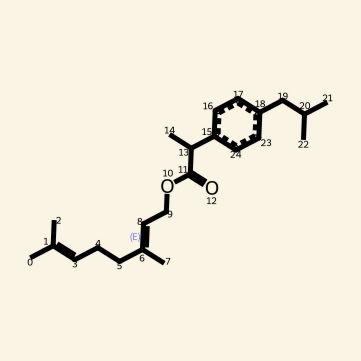 CC(C)=CCC/C(C)=C/COC(=O)C(C)c1ccc(CC(C)C)cc1